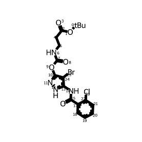 CC(C)(C)OC(=O)CCNC(=O)Oc1n[nH]c(NC(=O)c2ccccc2Cl)c1Br